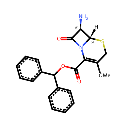 COC1=C(C(=O)OC(c2ccccc2)c2ccccc2)N2C(=O)[C@@H](N)[C@@H]2SC1